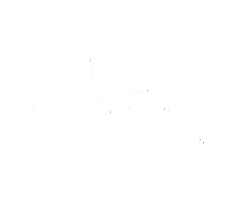 O=C1C(=Cc2nc3oc(-c4cccnc4)cc3s2)C(=O)c2cc3ccccc3cc21